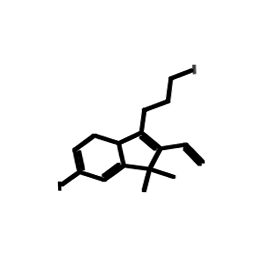 C=CC1=C(CCCI)C2CC=C(I)C=C2C1(C)C